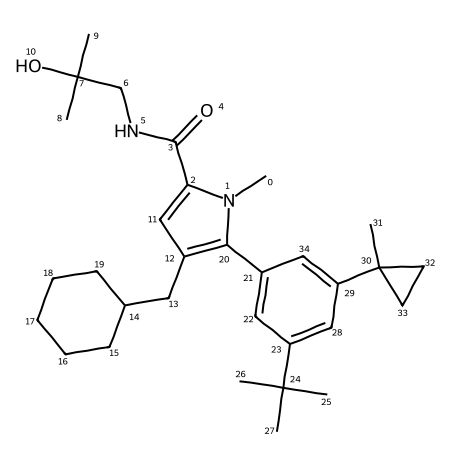 Cn1c(C(=O)NCC(C)(C)O)cc(CC2CCCCC2)c1-c1cc(C(C)(C)C)cc(C2(C)CC2)c1